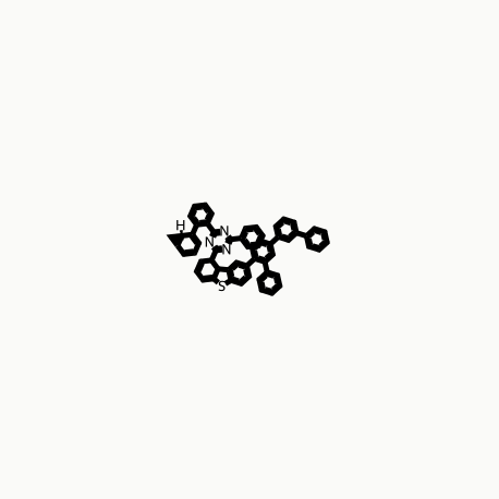 C1=CC2=C[C@@H]2C(c2ccccc2-c2nc(-c3ccccc3)nc(C3C=CC=C4Sc5ccc(-c6ccc(-c7cccc(-c8ccccc8)c7)cc6-c6ccccc6)cc5C43)n2)=C1